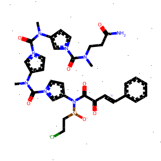 CN(CCC(N)=O)C(=O)n1ccc(N(C)C(=O)n2ccc(N(C)C(=O)n3ccc(N(C(=O)C(=O)/C=C/c4ccccc4)[S+]([O-])CCCl)c3)c2)c1